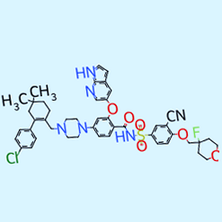 CC1(C)CCC(CN2CCN(c3ccc(C(=O)NS(=O)(=O)c4ccc(OCC5(F)CCOCC5)c(C#N)c4)c(Oc4cnc5[nH]ccc5c4)c3)CC2)=C(c2ccc(Cl)cc2)C1